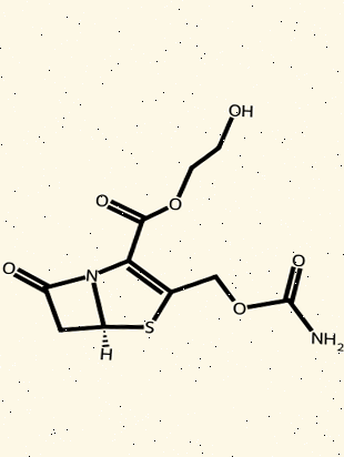 NC(=O)OCC1=C(C(=O)OCCO)N2C(=O)C[C@@H]2S1